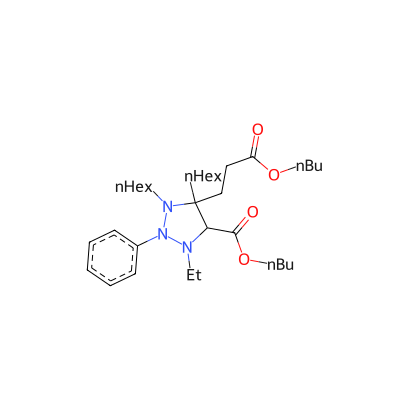 CCCCCCN1N(c2ccccc2)N(CC)C(C(=O)OCCCC)C1(CCCCCC)CCC(=O)OCCCC